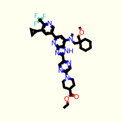 CCOC(=O)C1CCN(c2cnc(-c3nc4nc(-c5cnc(C(F)(F)F)c(C6CC6)c5)cc(N(C)CC5(COC)CCCCC5)c4[nH]3)cn2)CC1